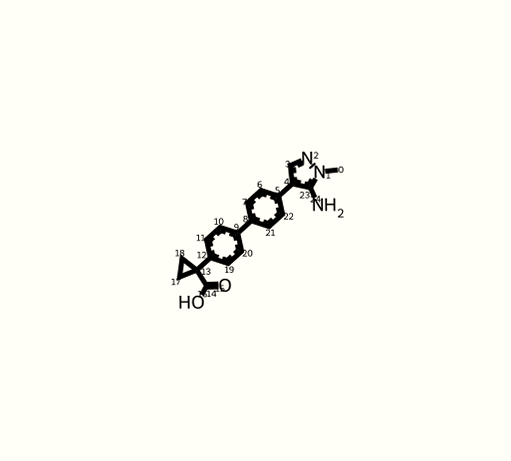 Cn1ncc(-c2ccc(-c3ccc(C4(C(=O)O)CC4)cc3)cc2)c1N